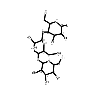 CC(OC1OC(CO)C(O)C(O)C1O)C(CO)OC(OC1C(CO)OC(C)C(O)C1O)C(O)O